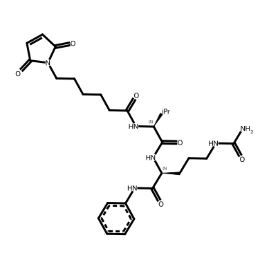 CC(C)[C@H](NC(=O)CCCCCN1C(=O)C=CC1=O)C(=O)N[C@@H](CCCNC(N)=O)C(=O)Nc1cc[c]cc1